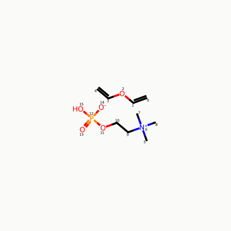 C=COC=C.C[N+](C)(C)CCOP(=O)([O-])O